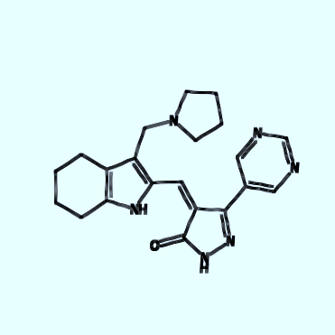 O=C1NN=C(c2cncnc2)C1=Cc1[nH]c2c(c1CN1CCCC1)CCCC2